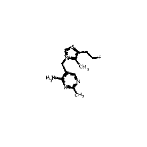 Cc1ncc(C[n+]2csc(CCF)c2C)c(N)n1